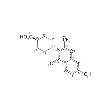 O=c1c2ccc(O)cc2oc(C(F)(F)F)c1[C@H]1CC[C@H](C(=O)O)CC1